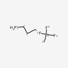 CCC[PH3+].F[B-](F)(F)F